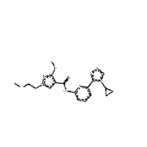 COCCn1cc(C(=O)Nc2cccc(-c3nncn3C3CC3)n2)c(OC)n1